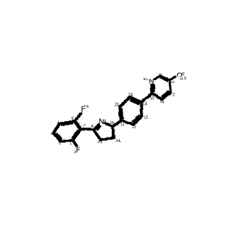 Fc1cccc(F)c1C1=NC(c2ccc(-c3ccc(C(F)(F)F)cn3)cc2)CC1